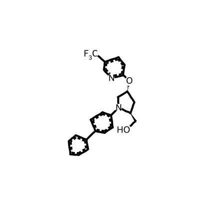 OC[C@@H]1C[C@@H](Oc2ccc(C(F)(F)F)cn2)CN1c1ccc(-c2ccccc2)cc1